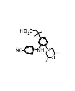 C[C@@H]1CN(c2ccc(C(C)(C)CC(=O)O)cc2Nc2ccc(C#N)cc2)C[C@H](C)O1